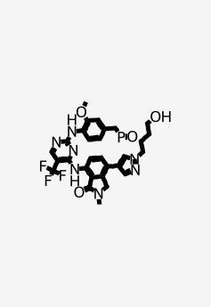 COc1cc(CP=O)ccc1Nc1ncc(C(F)(F)F)c(Nc2ccc(-c3cnn(CCCCO)c3)c3c2C(=O)N(C)C3)n1